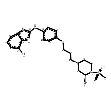 CC(C)[C@H]1C[C@@H](NCCOc2ccc(Oc3nc4cccc(Cl)c4s3)cc2)CCN1S(C)(=O)=O